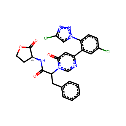 O=C(N[C@H]1CCOC1=O)C(Cc1ccccc1)n1cnc(-c2cc(Cl)ccc2-n2cc(Cl)nn2)cc1=O